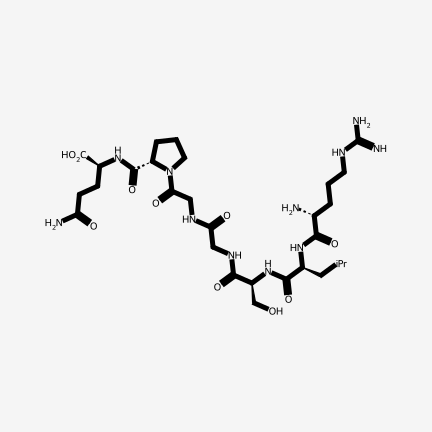 CC(C)C[C@H](NC(=O)[C@H](N)CCCNC(=N)N)C(=O)N[C@@H](CO)C(=O)NCC(=O)NCC(=O)N1CCC[C@H]1C(=O)N[C@@H](CCC(N)=O)C(=O)O